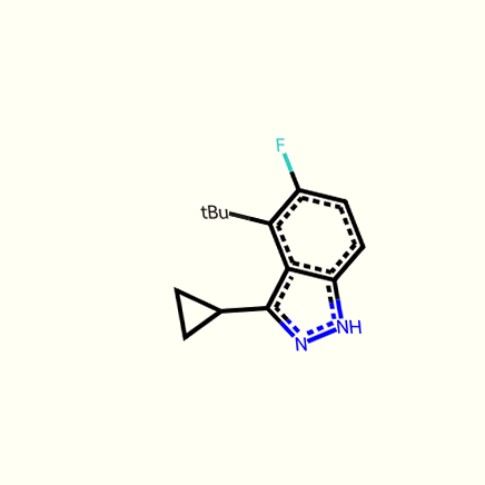 CC(C)(C)c1c(F)ccc2[nH]nc(C3CC3)c12